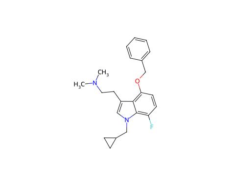 CN(C)CCc1cn(CC2CC2)c2c(F)ccc(OCc3ccccc3)c12